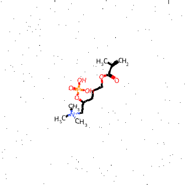 C=C(C)C(=O)OCCCC(C[N+](C)(C)C)OP(=O)(O)O